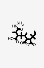 CCC(C)(C)C1C(=O)OC(=O)C1C(C)C(C)(C)C(C(=O)O)C(C)C(=O)NN